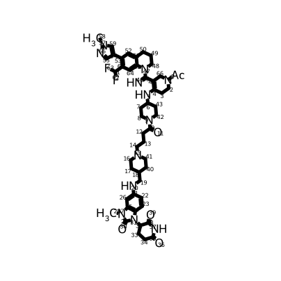 CC(=O)N1CCC(NC2CCN(C(=O)CCCN3CCC(CNc4ccc5c(c4)n(C)c(=O)n5C4CCC(=O)NC4=O)CC3)CC2)=C(C(=N)N2CCCc3cc(-c4cnn(C)c4)c(C(F)F)cc32)C1